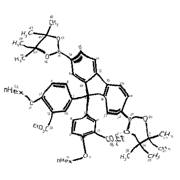 CCCCCCOc1ccc(C2(c3ccc(OCCCCCC)c(C(=O)OCC)c3)c3cc(B4OC(C)(C)C(C)(C)O4)ccc3-c3ccc(B4OC(C)(C)C(C)(C)O4)cc32)cc1C(=O)OCC